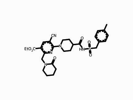 CCOC(=O)c1cc(C#N)c(N2CCC(C(=O)NS(=O)(=O)Cc3ccc(C)cc3)CC2)nc1CN1CCCCC1=O